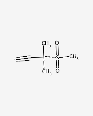 [C]#CC(C)(C)S(C)(=O)=O